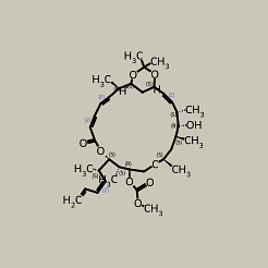 C=C/C=C\[C@H](C)[C@@H]1OC(=O)/C=C\C=C\[C@@H](C)[C@@H]2C[C@@H](/C=C\[C@H](C)[C@H](O)[C@@H](C)C[C@@H](C)CC[C@@H](OC(=O)OC)[C@@H]1C)OC(C)(C)O2